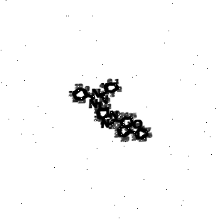 C1=CCCC(c2nc(-c3ccccc3)nc(-c3ccc4ncc(-c5ccc6c7c(cccc57)-c5ccccc5O6)nc4c3)n2)=C1